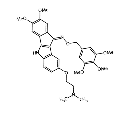 COc1cc2c(cc1OC)-c1[nH]c3ccc(OCCN(C)C)cc3c1C2=NOCc1cc(OC)c(OC)c(OC)c1